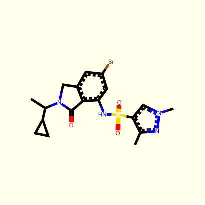 Cc1nn(C)cc1S(=O)(=O)Nc1cc(Br)cc2c1C(=O)N(C(C)C1CC1)C2